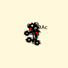 CC(=O)OC1C(=O)[C@@]2(C)C(C)CC3OCC3(OC(C)=O)C2(C)C(OC(=O)c2ccccc2)C2(O)CC(OC(=O)C[C@H](NC(=O)c3ccccc3)c3ccccc3)C(C)=C1C2(C)C